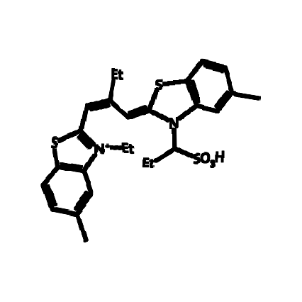 CCC(=Cc1sc2ccc(C)cc2[n+]1CC)C=C1Sc2ccc(C)cc2N1C(CC)S(=O)(=O)O